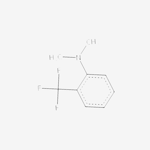 CN(C)c1ccccc1C(F)(F)F